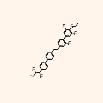 CCSc1c(F)cc(-c2ccc(CCc3ccc(-c4ccc(/C(F)=C(\F)CC)cc4)cc3)cc2F)cc1F